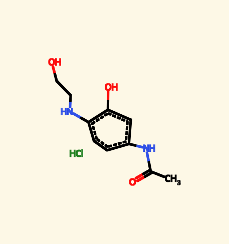 CC(=O)Nc1ccc(NCCO)c(O)c1.Cl